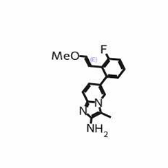 CO/C=C/c1c(F)cccc1-c1ccc2nc(N)c(C)n2c1